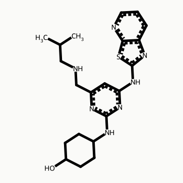 CC(C)CNCc1cc(Nc2nc3cccnc3s2)nc(NC2CCC(O)CC2)n1